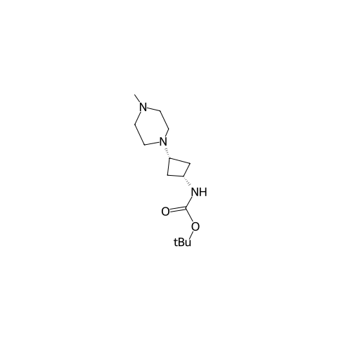 CN1CCN([C@H]2C[C@@H](NC(=O)OC(C)(C)C)C2)CC1